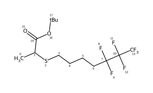 CC(SCCCCC(F)(F)C(F)(F)C(F)(F)F)C(=O)OC(C)(C)C